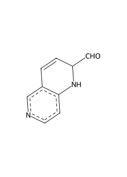 O=CC1C=Cc2cnccc2N1